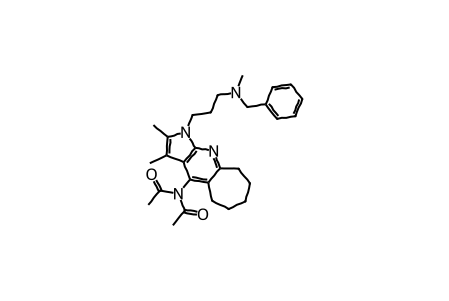 CC(=O)N(C(C)=O)c1c2c(nc3c1c(C)c(C)n3CCCN(C)Cc1ccccc1)CCCCC2